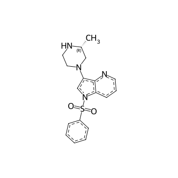 C[C@@H]1CN(c2cn(S(=O)(=O)c3ccccc3)c3cccnc23)CCN1